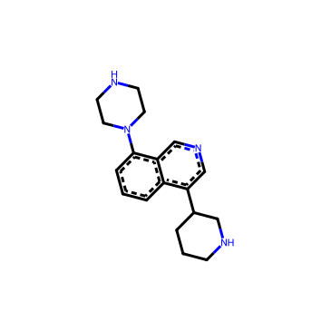 c1cc(N2CCNCC2)c2cncc(C3CCCNC3)c2c1